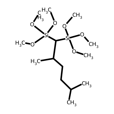 CO[Si](OC)(OC)C(C(C)CCC(C)C)[Si](OC)(OC)OC